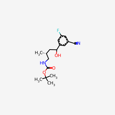 C[C@@H](CNC(=O)OC(C)(C)C)CC(O)c1cc(F)cc(C#N)c1